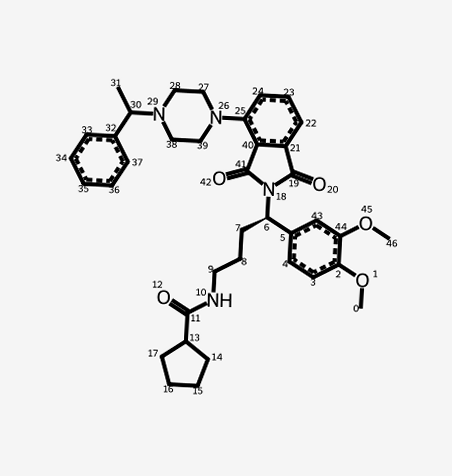 COc1ccc([C@@H](CCCNC(=O)C2CCCC2)N2C(=O)c3cccc(N4CCN(C(C)c5ccccc5)CC4)c3C2=O)cc1OC